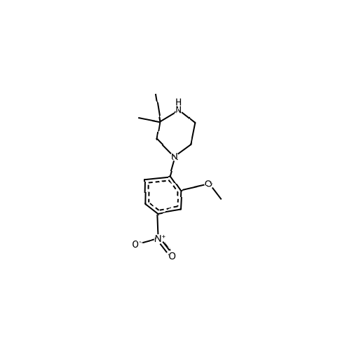 COc1cc([N+](=O)[O-])ccc1N1CCNC(C)(C)C1